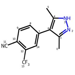 Cc1n[nH]c(C)c1-c1ccc(C#N)c(C(F)(F)F)c1